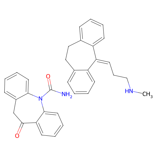 CNCCC=C1c2ccccc2CCc2ccccc21.NC(=O)N1c2ccccc2CC(=O)c2ccccc21